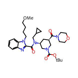 COCCCCn1c(C(=O)N(CC2CC2)[C@H]2C[C@@H](C(=O)N3CCOCC3)CN(C(=O)OC(C)(C)C)C2)nc2ccccc21